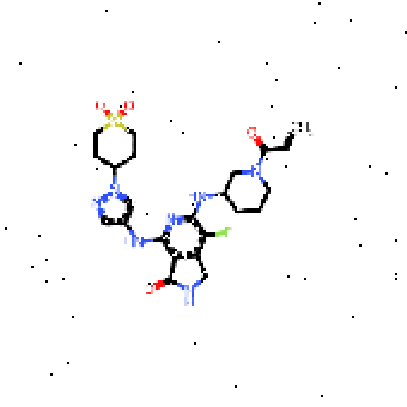 C=CC(=O)N1CCCC(Nc2nc(Nc3cnn(C4CCS(=O)(=O)CC4)c3)c3c(c2F)CNC3=O)C1